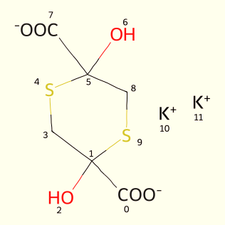 O=C([O-])C1(O)CSC(O)(C(=O)[O-])CS1.[K+].[K+]